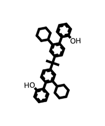 CC(C)(c1ccc(-c2ccccc2O)c(C2CCCCC2)c1)c1ccc(-c2ccccc2O)c(C2CCCCC2)c1